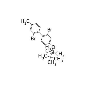 Cc1ccc(-c2ccc(O[Si](C)(C)C(C)(C)C)cc2Br)c(Br)c1